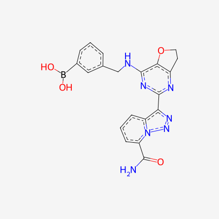 NC(=O)c1cccc2c(-c3nc4c(c(NCc5cccc(B(O)O)c5)n3)OCC4)nnn12